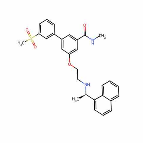 CNC(=O)c1cc(OCCN[C@H](C)c2cccc3ccccc23)cc(-c2cccc(S(C)(=O)=O)c2)c1